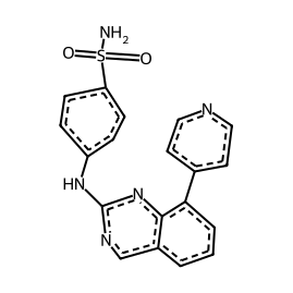 NS(=O)(=O)c1ccc(Nc2ncc3cccc(-c4ccncc4)c3n2)cc1